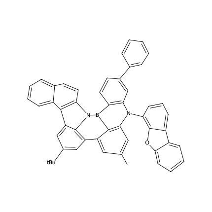 Cc1cc2c3c(c1)N(c1cccc4c1oc1ccccc14)c1cc(-c4ccccc4)ccc1B3n1c3ccc4ccccc4c3c3cc(C(C)(C)C)cc-2c31